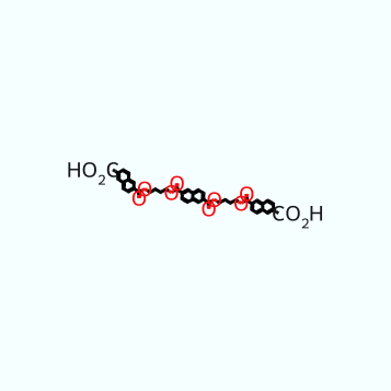 O=C(O)c1ccc2cc(C(=O)OCCCCOC(=O)c3ccc4cc(C(=O)OCCCCOC(=O)c5ccc6cc(C(=O)O)ccc6c5)ccc4c3)ccc2c1